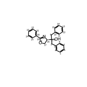 OC(Cc1ccccc1)(Cc1ccccc1)[C@H]1COC(c2ccccc2)=N1